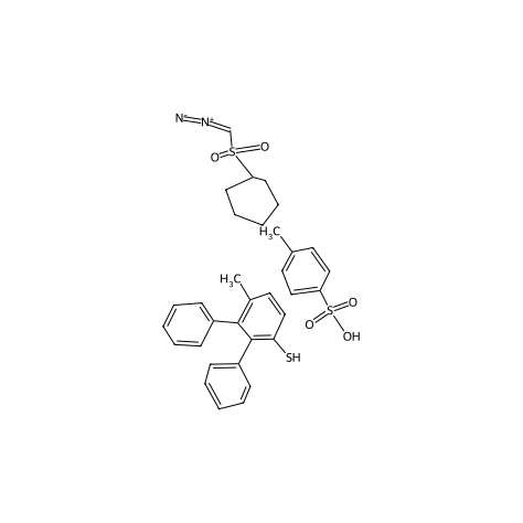 Cc1ccc(S(=O)(=O)O)cc1.Cc1ccc(S)c(-c2ccccc2)c1-c1ccccc1.[N-]=[N+]=CS(=O)(=O)C1CCCCC1